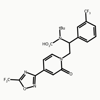 CC(C)(C)N(C(=O)O)C(Cn1ccc(-c2noc(C(F)(F)F)n2)cc1=O)c1cccc(C(F)(F)F)c1